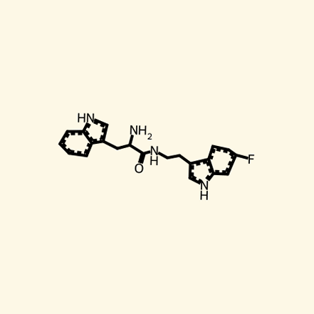 NC(Cc1c[nH]c2ccccc12)C(=O)NCCc1c[nH]c2cc(F)ccc12